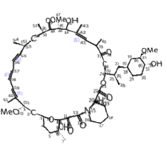 CO[C@H]1CC2CC[C@@H](C)[C@@](O)(O2)C(=O)C(=O)N2CCCC[C@H]2C(=O)O[C@H]([C@H](C)C[C@@H]2CC[C@@H](O)[C@H](OC)C2)CC(=O)C(C)/C=C(\C)C(O)[C@@H](OC)C(=O)[C@H](C)C[C@H](C)/C=C/C=C/C=C/1C